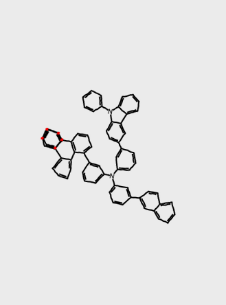 c1ccc(-c2ccccc2-c2c(-c3ccccc3)cccc2-c2cccc(N(c3cccc(-c4ccc5ccccc5c4)c3)c3cccc(-c4ccc5c(c4)c4ccccc4n5-c4ccccc4)c3)c2)cc1